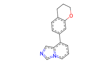 c1cc(-c2ccc3c(c2)OCCC3)c2cncn2c1